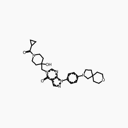 O=C(C1CC1)N1CCC(O)(Cn2cnc3c(cnn3-c3ccc(N4CCC5(CCOCC5)C4)cc3)c2=O)CC1